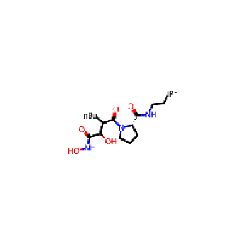 CCCCC(C(=O)N1CCC[C@H]1C(=O)NCCC(C)C)C(O)C(=O)NO